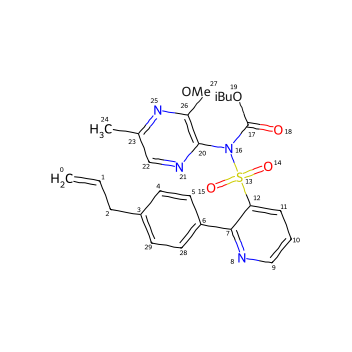 C=CCc1ccc(-c2ncccc2S(=O)(=O)N(C(=O)OCC(C)C)c2ncc(C)nc2OC)cc1